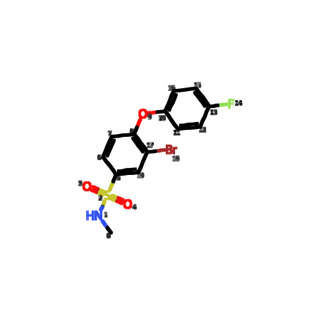 CNS(=O)(=O)c1ccc(Oc2ccc(F)cc2)c(Br)c1